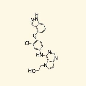 OCCn1ccc2ncnc(Nc3ccc(Oc4cccc5[nH]ncc45)c(Cl)c3)c21